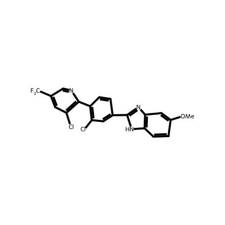 COc1ccc2[nH]c(-c3ccc(-c4ncc(C(F)(F)F)cc4Cl)c(Cl)c3)nc2c1